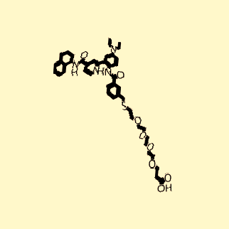 CCN(CC)c1ccc(NC(=O)c2cccc(CSCCOCCOCCOCCOCCC(=O)O)c2)c(-c2cc(C(=O)N[C@H]3CCCc4ccccc43)ccn2)c1